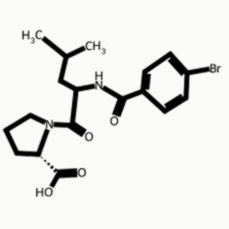 CC(C)CC(NC(=O)c1ccc(Br)cc1)C(=O)N1CCC[C@H]1C(=O)O